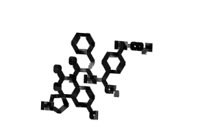 O=C(O)Nc1ccc(C(N[C@@H](Cc2ccccc2)C(=O)N2C(=O)O[C@]3(CCNC3)c3cc(Cl)ccc32)C(F)(F)F)cc1